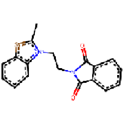 Cc1sc2ccccc2[n+]1CCN1C(=O)c2ccccc2C1=O